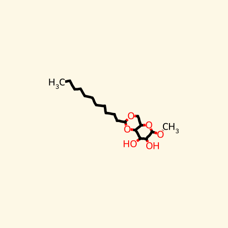 CCCCCCCCCCCC1OCC2OC(OC)C(O)C(O)C2O1